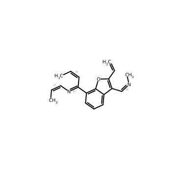 C=Cc1oc2c(C(/C=C\C)=N/C=C\C)cccc2c1/C=N\C